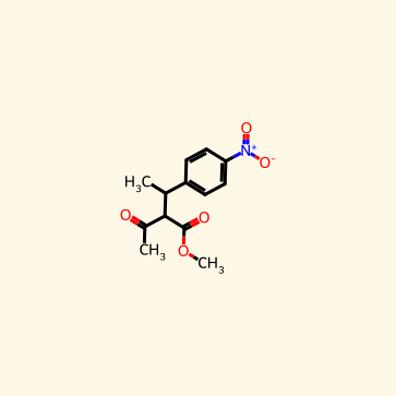 COC(=O)C(C(C)=O)C(C)c1ccc([N+](=O)[O-])cc1